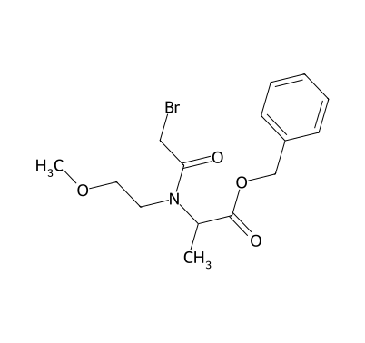 COCCN(C(=O)CBr)C(C)C(=O)OCc1ccccc1